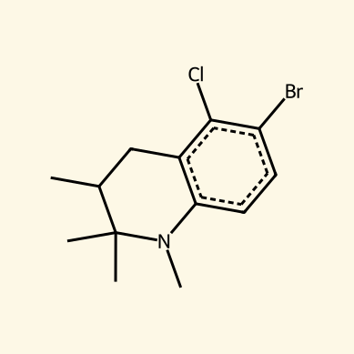 CC1Cc2c(ccc(Br)c2Cl)N(C)C1(C)C